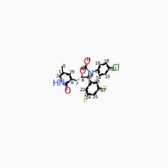 Cc1c[nH]c(=O)c(C[C@@H]2OC(=O)N(c3ccc(Cl)cc3)[C@H]2c2cc(F)cc(F)c2)c1